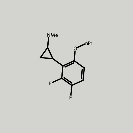 CCCOc1ccc(F)c(F)c1C1CC1NC